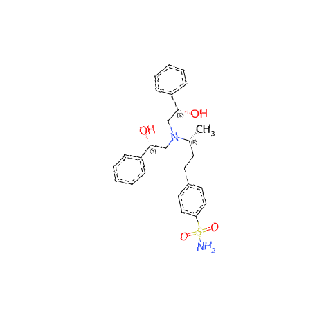 C[C@H](CCc1ccc(S(N)(=O)=O)cc1)N(C[C@@H](O)c1ccccc1)C[C@@H](O)c1ccccc1